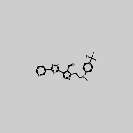 CN(CCn1ncc(-c2nc(-c3cccnc3)no2)c1C=O)c1ccc(C(F)(F)F)cc1